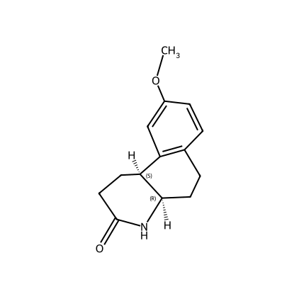 COc1ccc2c(c1)[C@@H]1CCC(=O)N[C@@H]1CC2